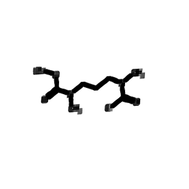 CN(CCCN(C)C(=O)OC(C)(C)C)C(=O)Cl